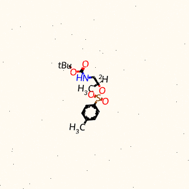 [2H][C@](C)(CNC(=O)OC(C)(C)C)OS(=O)(=O)c1ccc(C)cc1